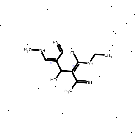 CCN/C(Cl)=C(\C(C)=N)C(O)/C(C=N)=C/NC